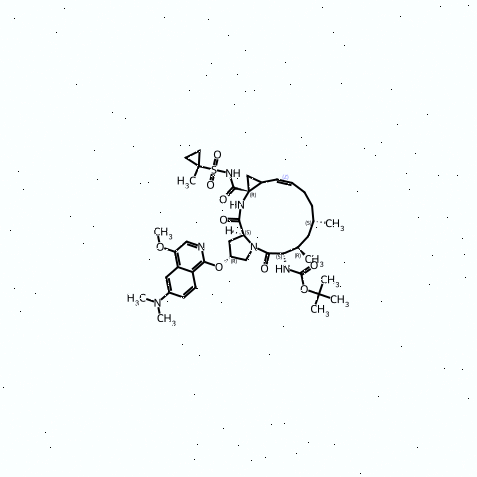 COc1cnc(O[C@@H]2C[C@H]3C(=O)N[C@]4(C(=O)NS(=O)(=O)C5(C)CC5)CC4/C=C\CC[C@H](C)C[C@@H](C)[C@H](NC(=O)OC(C)(C)C)C(=O)N3C2)c2ccc(N(C)C)cc12